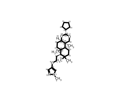 Cn1cc(OCC[C@@H]2C(C)(C)CCC3[C@]4(C)CO[C@@H](C5CCCC5)O[C@@H]4CC[C@]32C)cn1